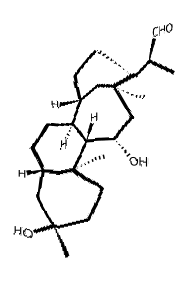 C[C@H](C=O)[C@H]1CC[C@H]2[C@@H]3CC[C@H]4C[C@@](C)(O)CC[C@]4(C)[C@H]3[C@@H](O)C[C@]12C